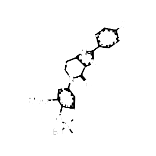 COc1cc(N2CCc3nc(-c4ccc(Cl)cc4)sc3C2=O)ccc1O[Si](C)(C)C(C)(C)C